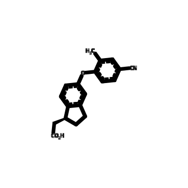 Cc1cc(C#N)ccc1Oc1ccc2c(c1)CC[C@H]2CC(=O)O